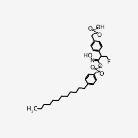 CCCCCCCCCCCCc1ccc(S(=O)(=O)OC(=NO)C(CF)c2ccc(CS(=O)(=O)O)cc2)cc1